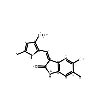 CCOC(=O)c1cc(C)[nH]c1/C=C1\C(=O)Nc2cc(C)c(Cl)nc21